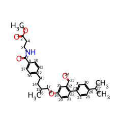 COC(=O)CCNC(=O)c1ccc(CCC(C)COc2ccc(-c3ccc(C(C)C)cc3)c(C=O)c2)cc1